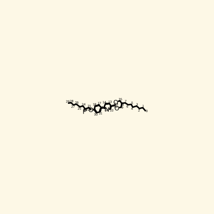 CCCCCCCCC1COC(c2ccc(-c3ccc(OC[C@@H](F)CCCCCC)cc3)nc2)OC1